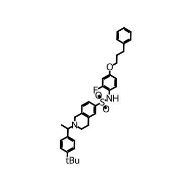 CC(c1ccc(C(C)(C)C)cc1)N1CCc2cc(S(=O)(=O)Nc3ccc(OCCCc4ccccc4)cc3F)ccc2C1